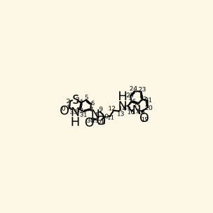 O=C1CSc2ccc(N3C[C@@H](CCCN[C@@H]4Cn5c(=O)ccc6cccc4c65)OC3=O)cc2N1